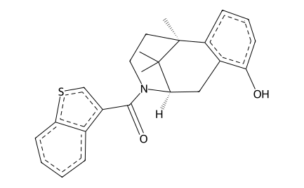 CC1(C)[C@H]2Cc3c(O)cccc3[C@]1(C)CCN2C(=O)c1csc2ccccc12